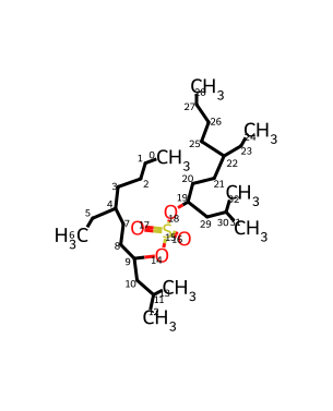 CCCCC(CC)CCC(CC(C)C)OS(=O)(=O)OC(CCC(CC)CCCC)CC(C)C